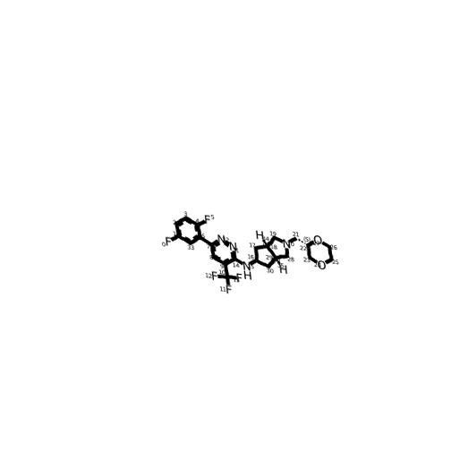 Fc1ccc(F)c(-c2cc(C(F)(F)F)c(NC3C[C@@H]4CN(C[C@H]5COCCO5)C[C@@H]4C3)nn2)c1